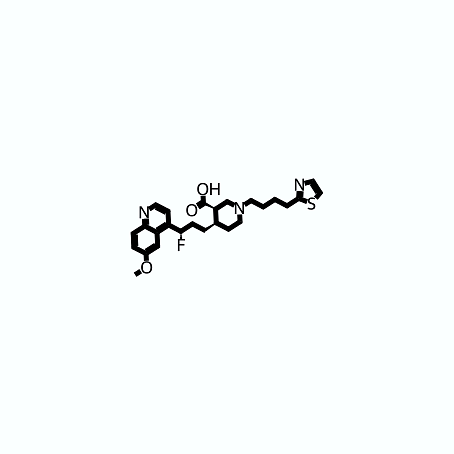 COc1ccc2nccc([C@@H](F)CC[C@@H]3CCN(CCCCc4nccs4)C[C@@H]3C(=O)O)c2c1